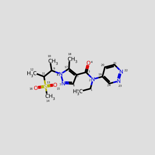 CCN(C(=O)c1cnn(C(C)C(C)S(C)(=O)=O)c1C)c1ccnnc1